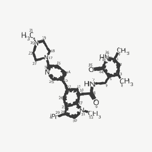 Cc1cc(C)c(CNC(=O)c2cc(-c3ccc(N4CCN(C)CC4)nc3)cc3c(C(C)C)cn(C)c23)c(=O)[nH]1